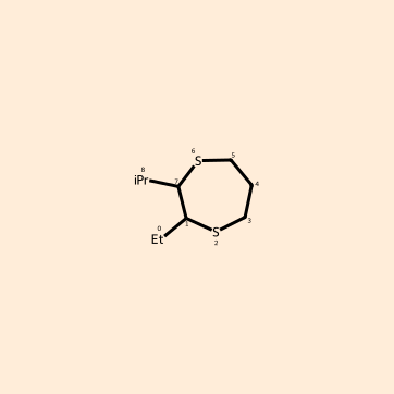 CCC1SCCCSC1C(C)C